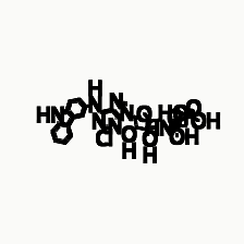 O=P(O)(O)CP(=O)(O)NCC1OC(n2cnc3c(Nc4ccc5[nH]c6ccccc6c5c4)nc(Cl)nc32)C(O)C1O